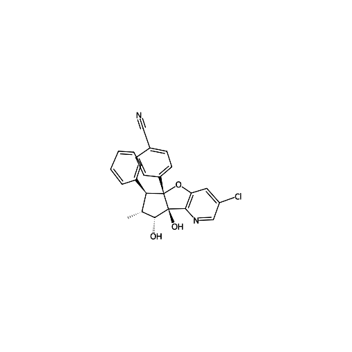 C[C@H]1[C@@H](O)[C@@]2(O)c3ncc(Cl)cc3O[C@@]2(c2ccc(C#N)cc2)[C@@H]1c1ccccc1